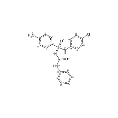 Cc1ccc(S(=O)(=NC(=O)Nc2ccccc2)Nc2ccc(Cl)cc2)cc1